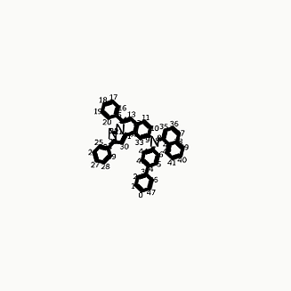 c1ccc(-c2ccc(N(c3ccc4cc(-c5ccccc5)n5nc(-c6ccccc6)cc5c4c3)c3cccc4ccccc34)cc2)cc1